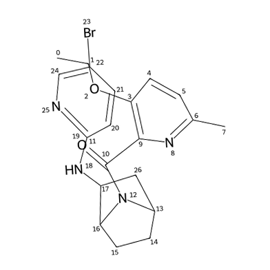 CCOc1ccc(C)nc1C(=O)N1C2CCC1C(Nc1ccc(Br)cn1)C2